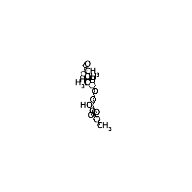 Cc1ccc(S(=O)(=O)OCC(O)COCCOC2CC[C@@]3(C)C(CC[C@@H]4[C@H]3CC[C@]3(C)C(c5ccoc5)CC[C@@]43O)C2)cc1